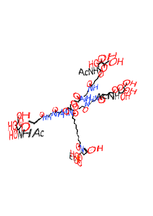 CCOP(=O)(O)OC[C@@H]1C[C@@H](O)CN1C(=O)CCCCCCCCCCC(=O)NC(COCCC(=O)NCCCNC(=O)CCCCOC1OC(CO)C(O)C(O)C1NC(C)=O)(COCCC(=O)NCCCNC(=O)CCCCOC1OC(CO)C(O)C(O)C1NC(C)=O)COCCC(=O)NCCCNC(=O)CCCCOC1OC(CO)C(O)C(O)C1NC(C)=O